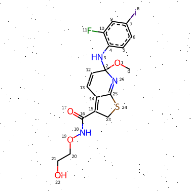 COC1(Nc2ccc(I)cc2F)C=CC2=C(C(=O)NOCCO)CSC2=N1